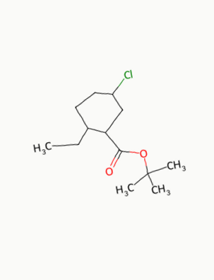 CCC1CCC(Cl)CC1C(=O)OC(C)(C)C